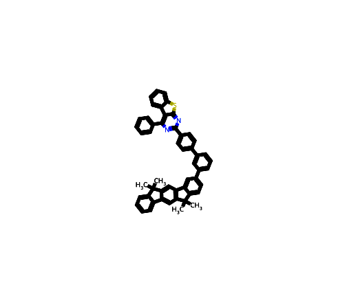 CC1(C)c2ccccc2-c2cc3c(cc21)-c1cc(-c2cccc(-c4ccc(-c5nc(-c6ccccc6)c6c(n5)sc5ccccc56)cc4)c2)ccc1C3(C)C